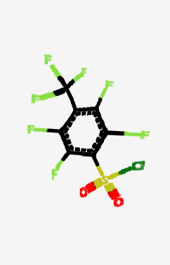 O=S(=O)(Cl)c1c(F)c(F)c(C(F)(F)F)c(F)c1F